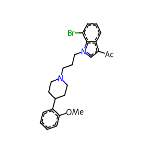 COc1ccccc1C1CCN(CCCn2cc(C(C)=O)c3cccc(Br)c32)CC1